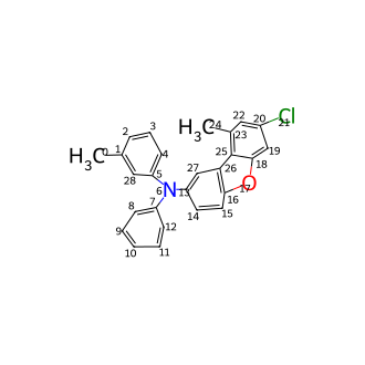 Cc1cccc(N(c2ccccc2)c2ccc3oc4cc(Cl)cc(C)c4c3c2)c1